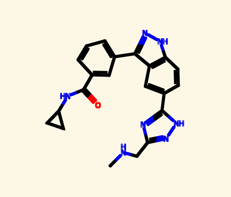 CNCc1n[nH]c(-c2ccc3[nH]nc(-c4cccc(C(=O)NC5CC5)c4)c3c2)n1